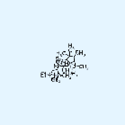 BC1C2C(C)(C)C2(CC(C)(C)[PH](=C)C(C[PH](=C)CC)[PH](=C)CC)C(C)C1(C)C